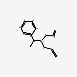 C=CCN(CC=C)C(C)c1cc[c]cc1